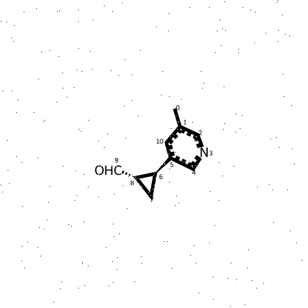 Cc1cncc([C@H]2C[C@@H]2C=O)c1